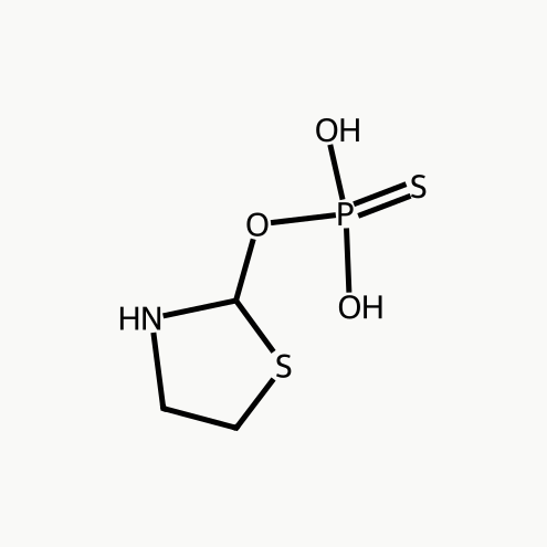 OP(O)(=S)OC1NCCS1